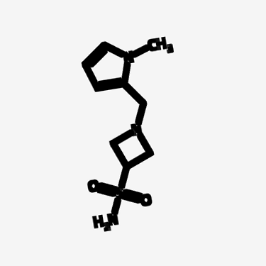 Cn1cccc1CN1CC(S(N)(=O)=O)C1